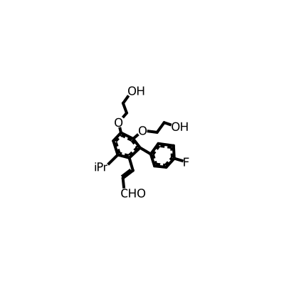 CC(C)c1cc(OCCO)c(OCCO)c(-c2ccc(F)cc2)c1C=CC=O